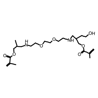 C=C(C)C(=O)OCC(C)CNCCOCCOCCNCC(CCO)COC(=O)C(=C)C